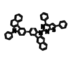 c1ccc(-c2cc3c(-c4ccccc4)nc(-n4c5ccc(-c6ccc7c(c6)c6c8ccccc8ccc6n7-c6ccccc6)cc5c5cc6ccccc6cc54)nc3s2)cc1